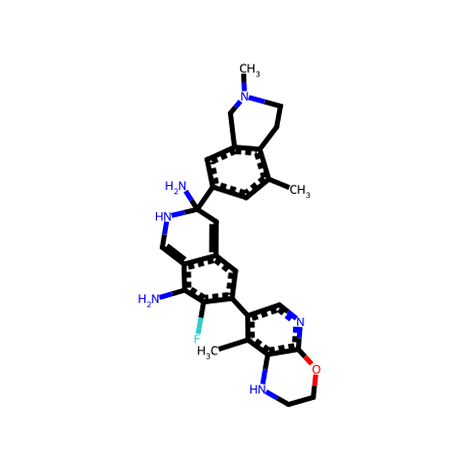 Cc1cc(C2(N)C=c3cc(-c4cnc5c(c4C)NCCO5)c(F)c(N)c3=CN2)cc2c1CCN(C)C2